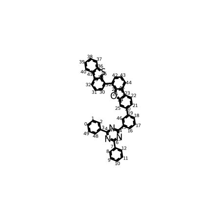 c1ccc(-c2nc(-c3ccccc3)nc(-c3cccc(-c4ccc5c(c4)oc4c(-c6cccc7c6sc6ccccc67)cccc45)c3)n2)cc1